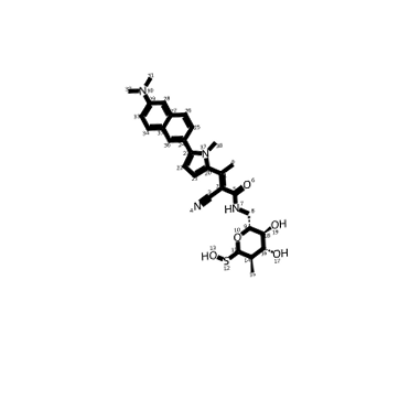 C/C(=C(/C#N)C(=O)NC[C@H]1OC(SO)[C@H](C)[C@@H](O)[C@@H]1O)c1ccc(-c2ccc3cc(N(C)C)ccc3c2)n1C